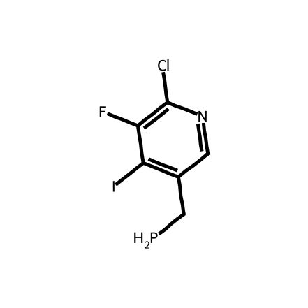 Fc1c(Cl)ncc(CP)c1I